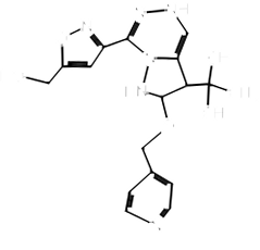 CC(C)(C)C1C2=CNN=C(c3cc(CO)on3)N2NC1OCc1ccncc1